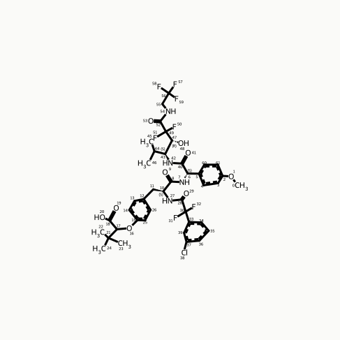 COc1ccc([C@H](NC(=O)[C@H](Cc2ccc(OC(C(=O)O)C(C)(C)C)cc2)NC(=O)C(F)(F)c2cccc(Cl)c2)C(=O)N[C@@H](C(C)C)[C@@H](O)C(F)(F)C(=O)NCC(F)(F)F)cc1